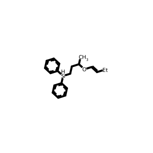 CCC=COC(C)CC[SiH](c1ccccc1)c1ccccc1